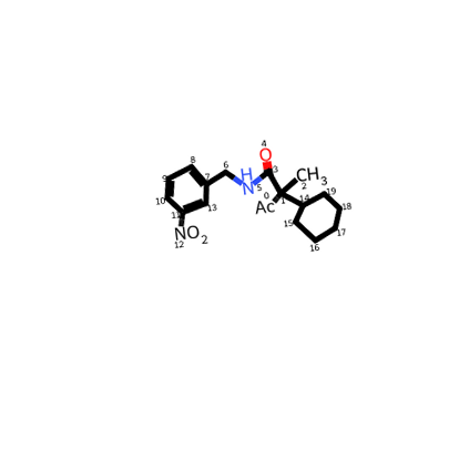 CC(=O)C(C)(C(=O)NCc1cccc([N+](=O)[O-])c1)C1CCCCC1